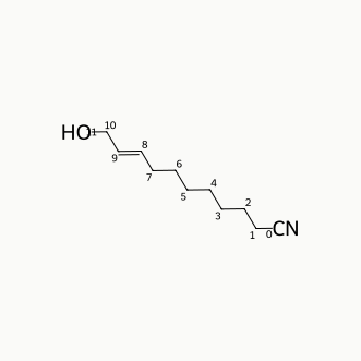 N#CCCCCCCCC=CCO